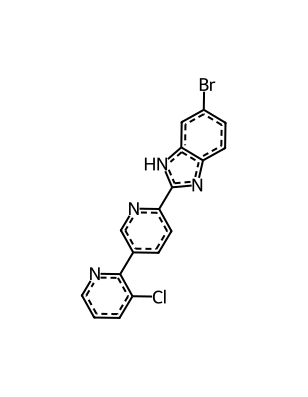 Clc1cccnc1-c1ccc(-c2nc3ccc(Br)cc3[nH]2)nc1